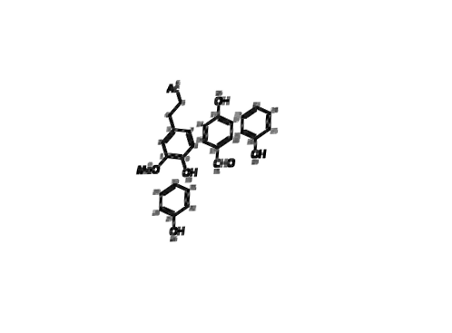 COc1cc(CCC(C)=O)ccc1O.O=Cc1ccc(O)cc1.Oc1ccccc1.Oc1ccccc1